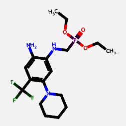 CCOP(=O)(CNc1cc(N2CCCCC2)c(C(F)(F)F)cc1N)OCC